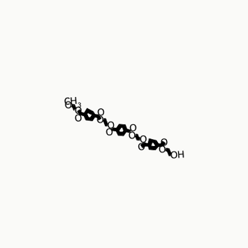 COCCOC(=O)c1ccc(C(=O)OCCOC(=O)c2ccc(C(=O)OCCOC(=O)c3ccc(C(=O)OCCO)cc3)cc2)cc1